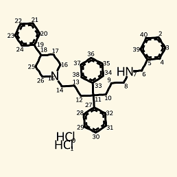 Cl.Cl.c1ccc(CNCCCC(CCCN2CCC(c3ccccc3)CC2)(c2ccccc2)c2ccccc2)cc1